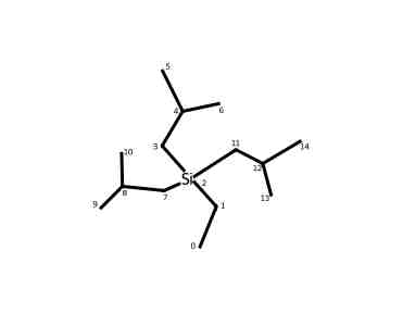 C[CH][Si](CC(C)C)(CC(C)C)CC(C)C